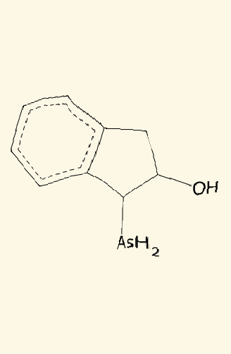 OC1Cc2ccccc2C1[AsH2]